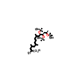 CCC(=CC(C)=CC(C)=CC=CC(C)=C[C@@H](O[Si](C)(C)C(C)(C)C)[C@@H](C[C@@H](C)O[Si](C)(C)C(C)(C)C)O[Si](C)(C)C(C)(C)C)C(=O)O